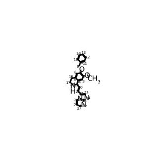 COc1cc2c(cc1OCc1ccccc1)CCNC2/C=C/c1cnc2ncccn12